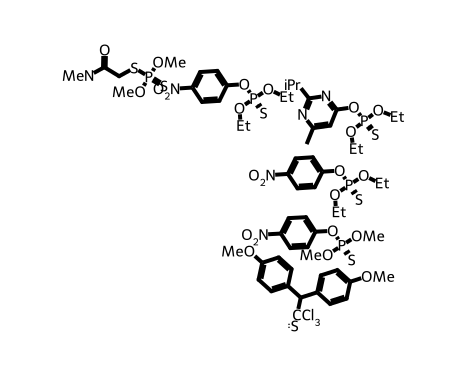 CCOP(=S)(OCC)Oc1cc(C)nc(C(C)C)n1.CCOP(=S)(OCC)Oc1ccc([N+](=O)[O-])cc1.CCOP(=S)(OCC)Oc1ccc([N+](=O)[O-])cc1.CNC(=O)CSP(=S)(OC)OC.COP(=S)(OC)Oc1ccc([N+](=O)[O-])cc1.COc1ccc(C(c2ccc(OC)cc2)C(Cl)(Cl)Cl)cc1.[S]